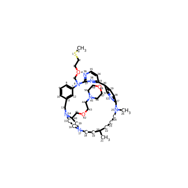 CSCCOCN1c2cccc(c2)CN2CCN(CCC(C)CCCN(C)c3ccc(cn3)-c3ccnc1n3)CC2COCCN1CCOCC1